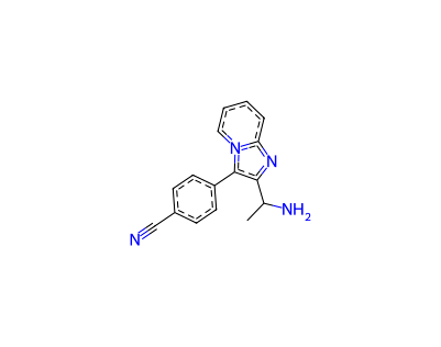 CC(N)c1nc2ccccn2c1-c1ccc(C#N)cc1